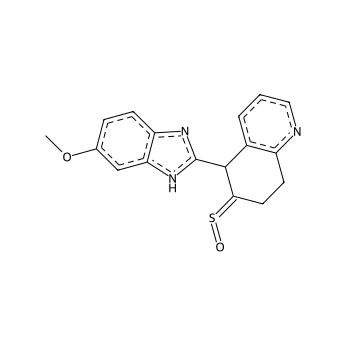 COc1ccc2nc(C3C(=S=O)CCc4ncccc43)[nH]c2c1